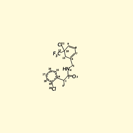 CC(C(=O)NCC1=CC=CC(Cl)(C(F)(F)F)C1)c1ccccc1Cl